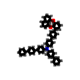 c1ccc(-c2ccc(-c3ccc(N(c4ccc(-c5ccccc5)cc4)c4ccc(-c5ccc(-c6cccc7c6Oc6cccc8cccc(c68)O7)cc5)cc4)cc3)cc2)cc1